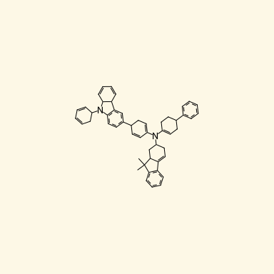 CC1(C)c2ccccc2C2=CCC(N(C3=CCC(c4ccc5c(c4)C4C=CC=CC4N5C4C=CC=CC4)C=C3)C3=CCC(c4ccccc4)CC3)CC21